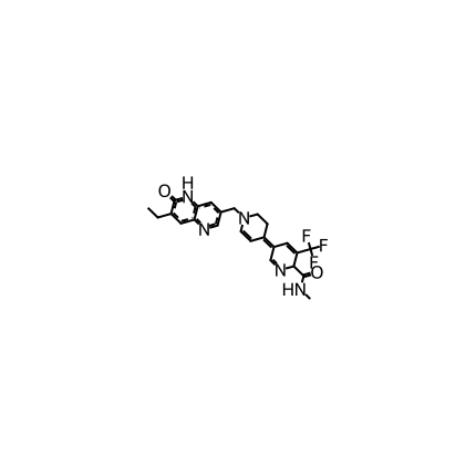 CCc1cc2ncc(CN3C=CC(=C4C=NC(C(=O)NC)C(C(F)(F)F)=C4)CC3)cc2[nH]c1=O